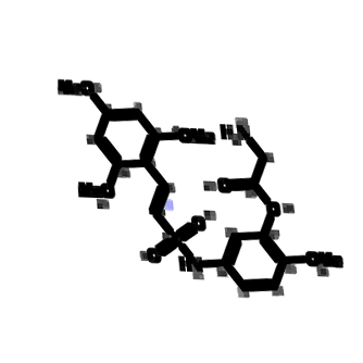 COc1cc(OC)c(/C=C/S(=O)(=O)Nc2ccc(OC)c(OC(=O)CN)c2)c(OC)c1